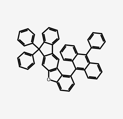 c1ccc(-c2c3ccccc3c(-c3cccc4oc5cc6c(cc5c34)-c3ccccc3C6(c3ccccc3)c3ccccc3)c3ccccc23)cc1